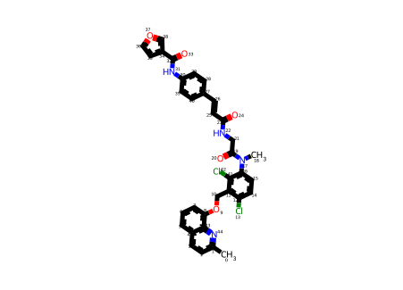 Cc1ccc2cccc(OCc3c(Cl)ccc(N(C)C(=O)CNC(=O)C=Cc4ccc(NC(=O)c5ccoc5)cc4)c3Cl)c2n1